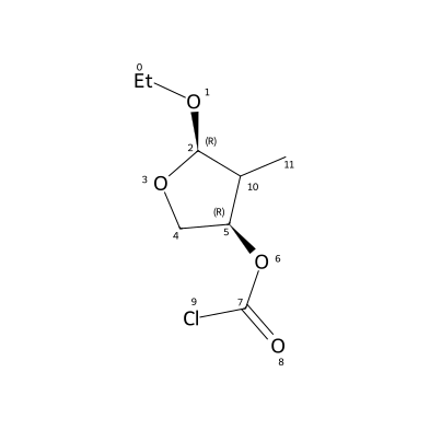 CCO[C@@H]1OC[C@H](OC(=O)Cl)C1C